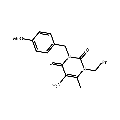 COc1ccc(Cn2c(=O)c([N+](=O)[O-])c(C)n(CC(C)C)c2=O)cc1